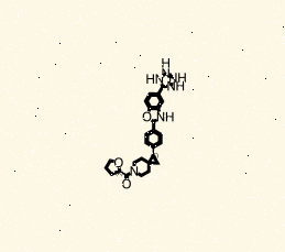 O=C([C@H]1CCCO1)N1CCC2(CC1)C[C@@H]2c1ccc(C2Nc3cc(C4NNNN4)ccc3O2)cc1